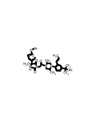 CC=Cc1cc(C(O)(C(F)(F)F)C(F)(F)F)ccc1N1C[C@H](C)N(C(=O)CN2C(=O)N[C@](C)(c3ccc(OC(C)C)cc3)C2=O)CC1C